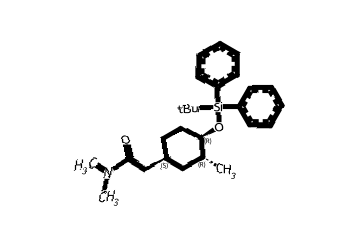 C[C@@H]1C[C@@H](CC(=O)N(C)C)CC[C@H]1O[Si](c1ccccc1)(c1ccccc1)C(C)(C)C